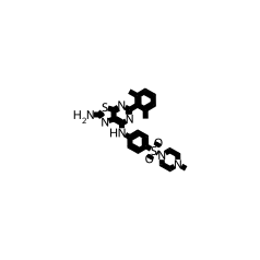 Cc1cccc(C)c1-c1nc(Nc2ccc(S(=O)(=O)N3CCN(C)CC3)cc2)c2nc(N)sc2n1